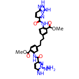 COC(=O)c1cc(CCCc2ccc(C(=O)OC)c(NC(=O)c3ccc(=N)n(NN)n3)c2)ccc1NC(=O)C1=NN2NNN=C2C=C1